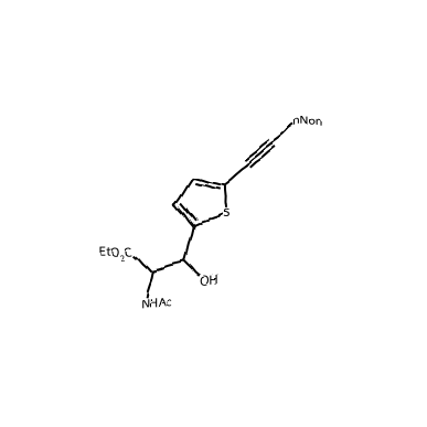 CCCCCCCCCC#Cc1ccc(C(O)C(NC(C)=O)C(=O)OCC)s1